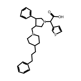 O=C(O)C(c1ccsc1)N1CC(CN2CCC(CCCc3ccccc3)CC2)C(c2ccccc2)C1